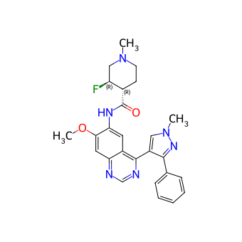 COc1cc2ncnc(-c3cn(C)nc3-c3ccccc3)c2cc1NC(=O)[C@H]1CCN(C)C[C@@H]1F